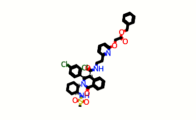 CS(=O)(=O)N[C@H]1CCCC[C@@H]1N1C(=O)c2ccccc2[C@@H](C(=O)NCCc2cccc(OCC(=O)OCc3ccccc3)n2)[C@@H]1c1ccc(Cl)cc1Cl